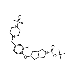 C=S(C)(=O)N1CCN(Cc2ccc(OC3CC4CN(C(=O)OC(C)(C)C)CC4C3)c(F)c2)CC1